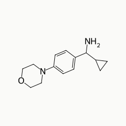 NC(c1ccc(N2CCOCC2)cc1)C1CC1